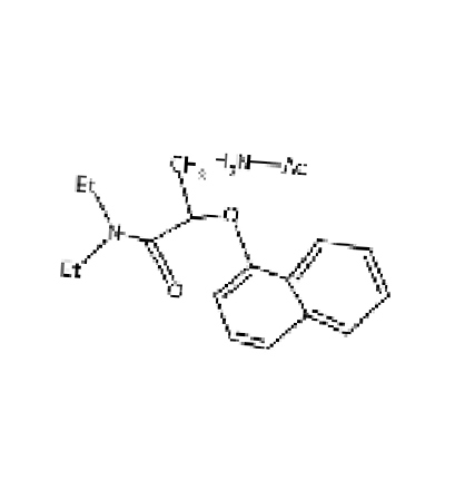 CC(N)=O.CCN(CC)C(=O)C(C)Oc1cccc2ccccc12